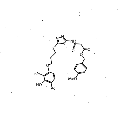 CCCc1c(OCCCSc2nnc(NC(=O)CC(=O)OCc3ccc(OC)cc3)s2)ccc(C(C)=O)c1O